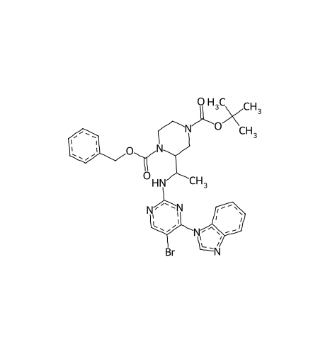 CC(Nc1ncc(Br)c(-n2cnc3ccccc32)n1)C1CN(C(=O)OC(C)(C)C)CCN1C(=O)OCc1ccccc1